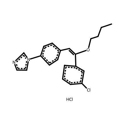 CCCCO/C(=C/c1ccc(-n2ccnc2)cc1)c1cccc(Cl)c1.Cl